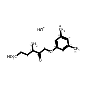 Cl.NC(CCC(=O)O)C(=O)COc1cc(C(F)(F)F)cc(C(F)(F)F)c1